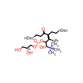 CCCCCCCCCCCCC(=O)C(CCCCCCCCCCCC)=C(CCC)C(C[N+](C)(C)C)OP(=O)(O)OC[C@H](O)CO